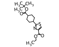 CCOC(=O)c1csc(C2CCC(C(=O)OC(C)(C)C)CC2)n1